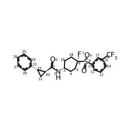 O=C(N[C@H]1CC[C@](F)(S(=O)(=O)c2cccc(C(F)(F)F)c2)CC1)[C@H]1C[C@@H]1c1ccccc1